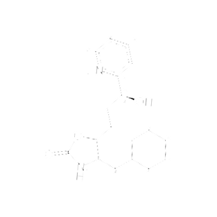 O=C1NC(CC2CCCCC2)C(CC[C@H](O)c2ccccn2)O1